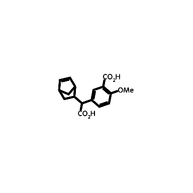 COc1ccc(C(C(=O)O)C2CC3C=CC2C3)cc1C(=O)O